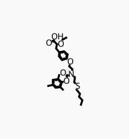 CCCCCSCCN(CCOc1ccc(CC(OCC)C(=O)O)cc1)C(=O)Oc1c(C)cc(C)cc1C